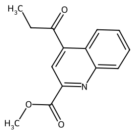 CCC(=O)c1cc(C(=O)OC)nc2ccccc12